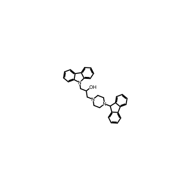 OC(CN1CCN(C2c3ccccc3-c3ccccc32)CC1)Cn1c2ccccc2c2ccccc21